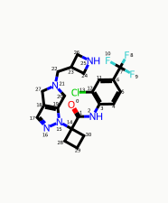 O=C(Nc1ccc(C(F)(F)F)cc1Cl)C1(n2ncc3c2CN(CC2CNC2)C3)CCC1